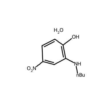 CCCCNc1cc([N+](=O)[O-])ccc1O.O